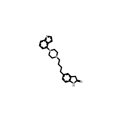 O=C1Cc2cc(CCCCN3CCN(c4cccc5sccc45)CC3)ccc2N1